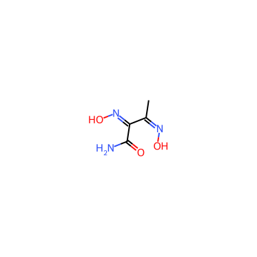 CC(=NO)C(=NO)C(N)=O